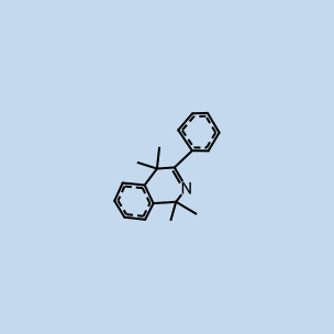 CC1(C)N=C(c2ccccc2)C(C)(C)c2ccccc21